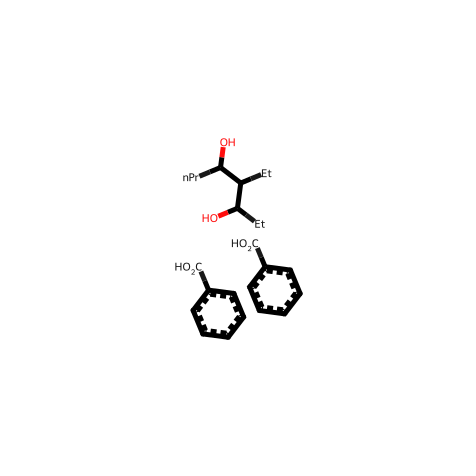 CCCC(O)C(CC)C(O)CC.O=C(O)c1ccccc1.O=C(O)c1ccccc1